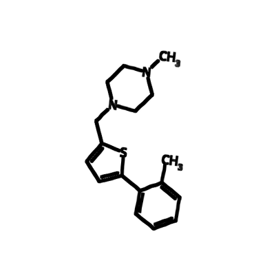 Cc1ccccc1-c1ccc(CN2CCN(C)CC2)s1